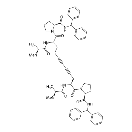 CN[C@@H](C)C(=O)N[C@@H](CC#CC#CCC[C@H](NC(=O)[C@H](C)NC)C(=O)N1CCC[C@H]1C(=O)NC(c1ccccc1)c1ccccc1)C(=O)N1CCC[C@H]1C(=O)NC(c1ccccc1)c1ccccc1